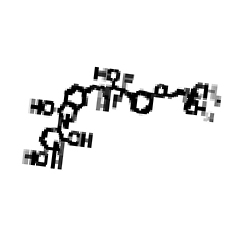 CN(C)CCOc1cccc(C(F)(F)[C@H](O)NCc2ccc3c(c2)CN(C2CC[C@H](O)N[C@@H]2O)[C@H]3O)c1